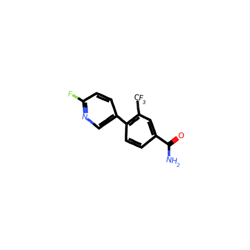 NC(=O)c1ccc(-c2ccc(F)nc2)c(C(F)(F)F)c1